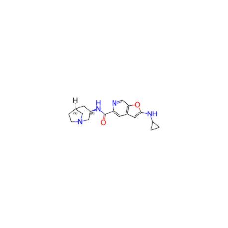 O=C(N[C@@H]1C[C@@H]2CCN(C2)C1)c1cc2cc(NC3CC3)oc2cn1